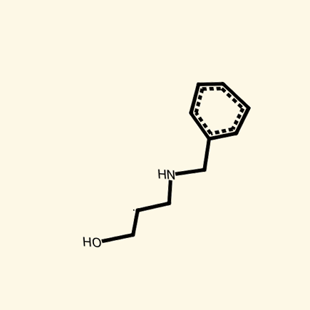 OC[CH]CNCc1ccccc1